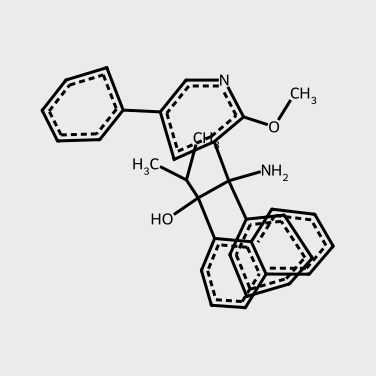 COc1ncc(-c2ccccc2)cc1C(N)(c1ccccc1)C(O)(c1cccc2ccccc12)C(C)C